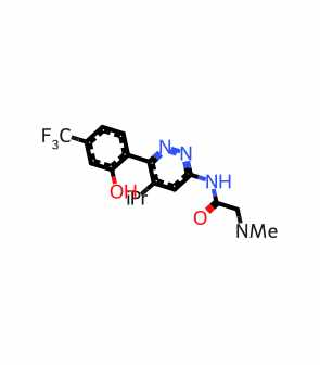 CNCC(=O)Nc1cc(C(C)C)c(-c2ccc(C(F)(F)F)cc2O)nn1